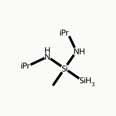 CC(C)N[Si](C)([SiH3])NC(C)C